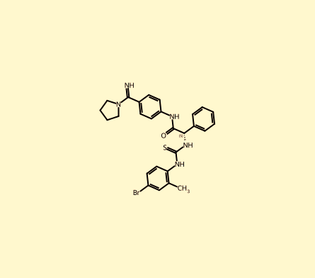 Cc1cc(Br)ccc1NC(=S)N[C@H](C(=O)Nc1ccc(C(=N)N2CCCC2)cc1)c1ccccc1